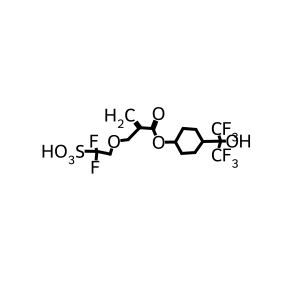 C=C(COCC(F)(F)S(=O)(=O)O)C(=O)OC1CCC(C(O)(C(F)(F)F)C(F)(F)F)CC1